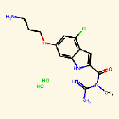 CN(C(=N)N)C(=O)c1cc2c(Cl)cc(OCCCN)cc2[nH]1.Cl.Cl